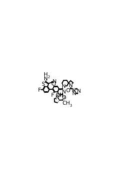 C[C@H](Oc1nc(N2CCCC3(CCN3C(=O)n3cncn3)C2)c2cc(Cl)c(-c3ccc(F)c4sc(N)c(C#N)c34)c(F)c2n1)[C@@H]1CCCN1C